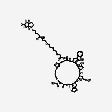 CC(O)[C@@H]1NC(=O)[C@H](Cc2c[nH]c3ccccc23)NC(=O)[C@@H](NC(=O)COCCOCCOCCNC(=O)CCCC[C@H]2SC[C@H]3NC(=O)N[C@H]32)Cc2cn(nn2)CCCC[C@@H](C(N)=O)NC(=O)CNC(=O)[C@H](Cc2c[nH]cn2)NC(=O)[C@H](CCC(=O)O)NC1=O